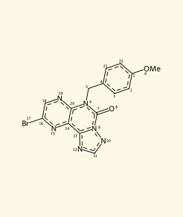 COc1ccc(Cn2c(=O)n3ncnc3c3nc(Br)cnc32)cc1